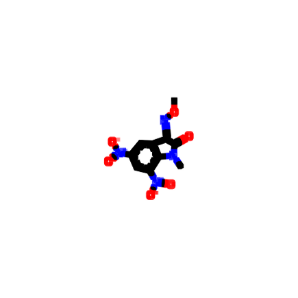 CON=C1C(=O)N(C)c2c1cc([N+](=O)[O-])cc2[N+](=O)[O-]